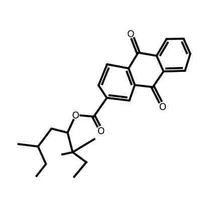 CCC(C)CC(OC(=O)c1ccc2c(c1)C(=O)c1ccccc1C2=O)C(C)(C)CC